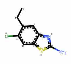 CCc1cc2nc(N)sc2cc1Cl